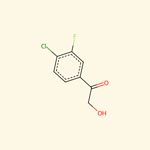 O=C(CO)c1ccc(Cl)c(F)c1